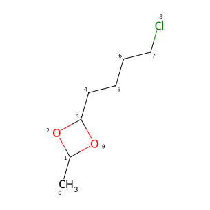 CC1OC(CCCCCl)O1